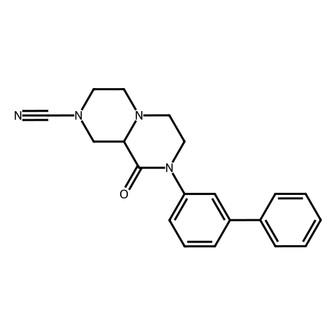 N#CN1CCN2CCN(c3cccc(-c4ccccc4)c3)C(=O)C2C1